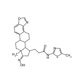 Cc1cnc(NC(=O)CCC2C/C(=N\O)C3(C)CCC4c5ccc6ocnc6c5CCC4C23)s1